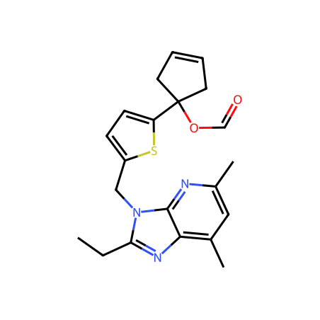 CCc1nc2c(C)cc(C)nc2n1Cc1ccc(C2(OC=O)CC=CC2)s1